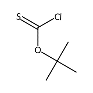 CC(C)(C)OC(=S)Cl